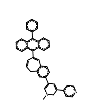 CN1C=C(c2ccc3c(c2)CC=CC(c2c4ccccc4c(-c4ccccc4)c4ccccc24)=C3)C=C(c2ccncc2)C1